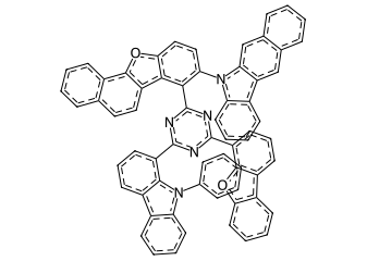 c1ccc(-n2c3ccccc3c3cccc(-c4nc(-c5cccc6c5oc5ccccc56)nc(-c5c(-n6c7ccccc7c7cc8ccccc8cc76)ccc6oc7c8ccccc8ccc7c56)n4)c32)cc1